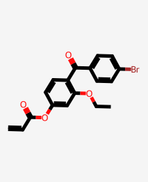 C=CC(=O)Oc1ccc(C(=O)c2ccc(Br)cc2)c(OCC)c1